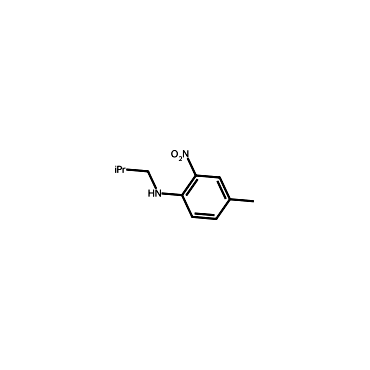 Cc1ccc(NCC(C)C)c([N+](=O)[O-])c1